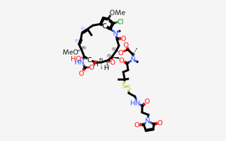 COc1cc2cc(c1Cl)N(C)C(=O)C[C@H](OC(=O)[C@H](C)N(C)C(=O)CCC(C)(C)SSCCNC(=O)CCN1C(=O)C=CC1=O)[C@]1(C)O[C@H]1[C@H](C)[C@@H]1C[C@@](O)(NC(=O)O1)[C@H](OC)/C=C/C=C(\C)C2